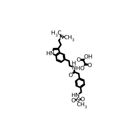 CN(C)CCc1c[nH]c2ccc(CCNC(=O)Cc3ccc(CNS(C)(=O)=O)cc3)cc12.O=C(O)C(=O)O